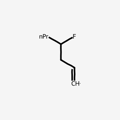 [CH]=CCC(F)CCC